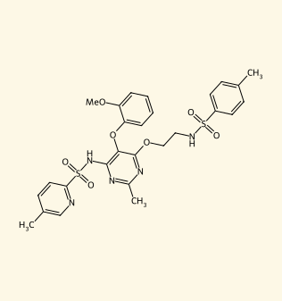 COc1ccccc1Oc1c(NS(=O)(=O)c2ccc(C)cn2)nc(C)nc1OCCNS(=O)(=O)c1ccc(C)cc1